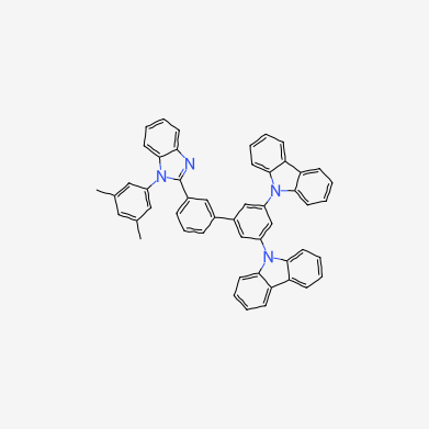 Cc1cc(C)cc(-n2c(-c3cccc(-c4cc(-n5c6ccccc6c6ccccc65)cc(-n5c6ccccc6c6ccccc65)c4)c3)nc3ccccc32)c1